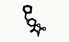 C=C1N(C)C(=O)OC12CCN(Cc1ccccc1)CC2